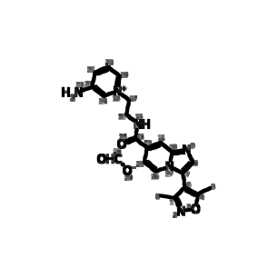 Cc1noc(C)c1-c1cnc2cc(C(=O)NCC[n+]3cccc(N)c3)ccn12.O=C[O-]